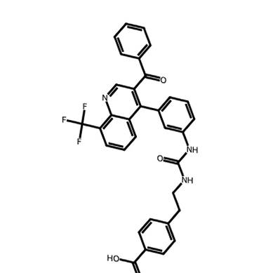 O=C(NCCc1ccc(C(=O)O)cc1)Nc1cccc(-c2c(C(=O)c3ccccc3)cnc3c(C(F)(F)F)cccc23)c1